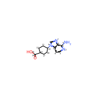 Nc1nccc2c1ncn2C1CCC(C(=O)O)CC1